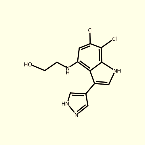 OCCNc1cc(Cl)c(Cl)c2[nH]cc(-c3cn[nH]c3)c12